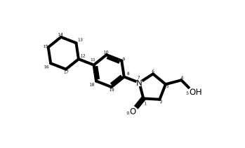 O=C1CC(CO)CN1c1ccc(C2CCCCC2)cc1